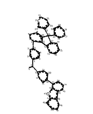 CC(c1ccc(-c2cccc3c2-c2ccccc2C3(c2ccccc2)c2ccccc2)cc1)c1ccc(-c2cccc3c2oc2ccccc23)cc1